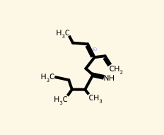 C=C/C(=C/CC)CC(=N)C(C)C(C)CC